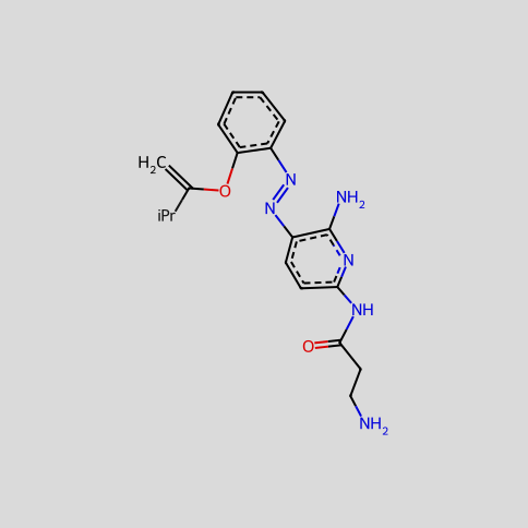 C=C(Oc1ccccc1/N=N/c1ccc(NC(=O)CCN)nc1N)C(C)C